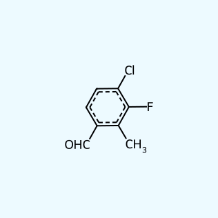 Cc1c(C=O)ccc(Cl)c1F